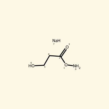 NOC(=O)CCO.[NaH]